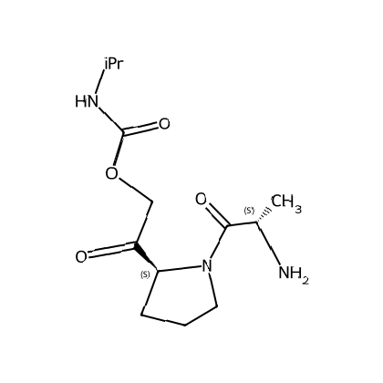 CC(C)NC(=O)OCC(=O)[C@@H]1CCCN1C(=O)[C@H](C)N